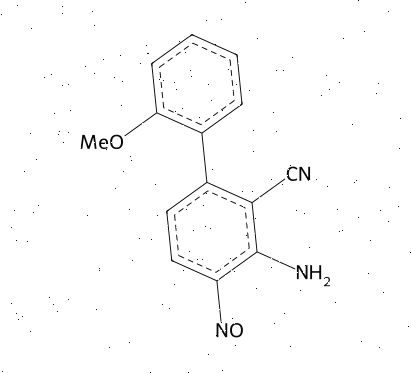 COc1ccccc1-c1ccc(N=O)c(N)c1C#N